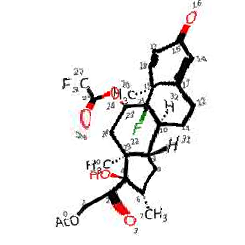 CC(=O)OCC(=O)[C@@]1(O)[C@@H](C)C[C@H]2[C@@H]3CCC4=CC(=O)C=C[C@]4(C)C3(F)[C@@H](OC(=O)C(F)(F)F)C[C@@]21C